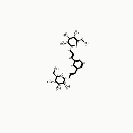 OC[C@H]1O[C@H](CC=Cc2cccc(C=CC[C@H]3O[C@H](CO)[C@@H](O)[C@H](O)[C@@H]3O)c2)[C@@H](O)[C@@H](O)[C@@H]1O